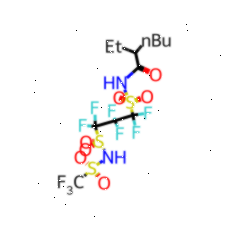 CCCCC(CC)C(=O)NS(=O)(=O)C(F)(F)C(F)(F)C(F)(F)S(=O)(=O)NS(=O)(=O)C(F)(F)F